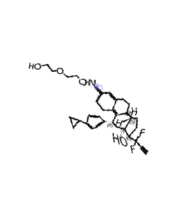 C#CC(F)(F)[C@]1(O)CC[C@H]2[C@@H]3CCC4=C/C(=N/OCCOCCO)CCC4=C3[C@@H](c3ccc(C4CC4)cc3)C[C@@]21C